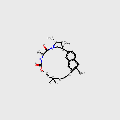 COc1cc2ccc3cc2cc1CCCC(C)(C)CCOC(=O)N[C@@H](C(C)C)C(=O)N1C[C@@]3(OC)C[C@H]1C(=O)O